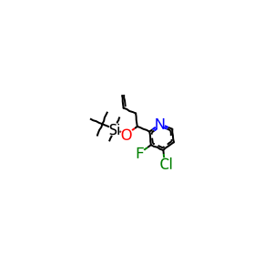 C=CCC(O[Si](C)(C)C(C)(C)C)c1nccc(Cl)c1F